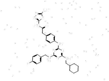 Cc1nnc(NC(=O)Cc2ccc(Nc3nc(NCc4ccc(F)cc4)nc(NCC4CCCCC4)n3)cc2)s1